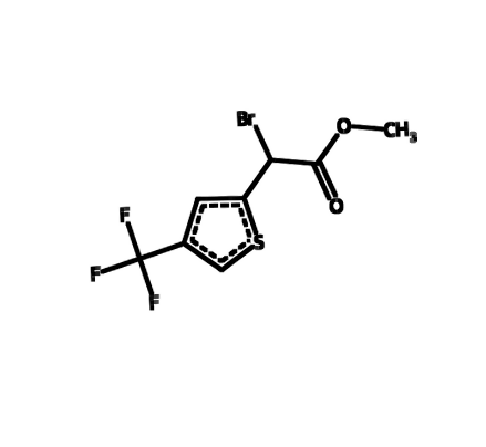 COC(=O)C(Br)c1cc(C(F)(F)F)cs1